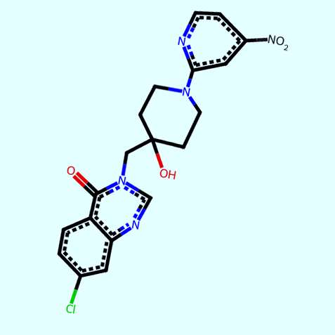 O=c1c2ccc(Cl)cc2ncn1CC1(O)CCN(c2cc([N+](=O)[O-])ccn2)CC1